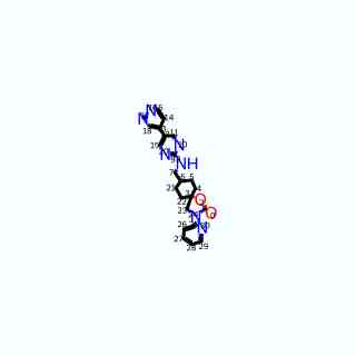 O=C1OC2(CCC(CNc3ncc(-c4ccnnc4)cn3)CC2)CN1c1ccccn1